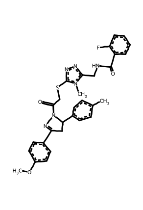 COc1ccc(C2=NN(C(=O)CSc3nnc(CNC(=O)c4ccccc4F)n3C)C(c3ccc(C)cc3)C2)cc1